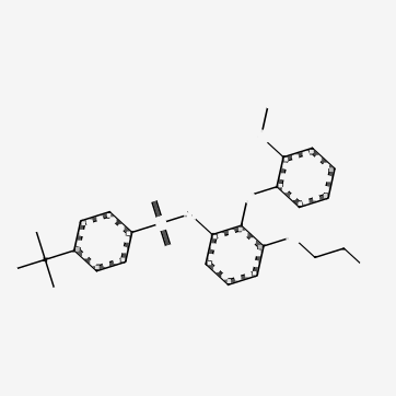 COc1ccccc1Oc1c(NS(=O)(=O)c2ccc(C(C)(C)C)cc2)cccc1OCCO